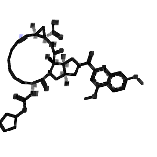 COc1ccc2c(OC)cc(C(=O)N3C[C@H]4CN5C(=O)[C@H](NC(=O)OC6CCCC6)CCCCC/C=C\[C@H]6C[C@@]6(C(=O)O)NC(=O)[C@@H]5[C@H]4C3)nc2c1